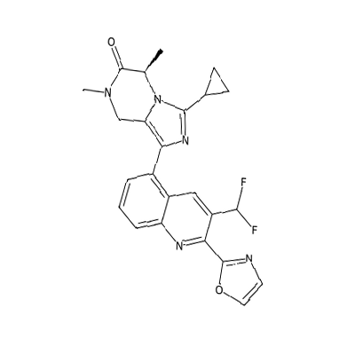 C[C@@H]1C(=O)N(C)Cc2c(-c3cccc4nc(-c5ncco5)c(C(F)F)cc34)nc(C3CC3)n21